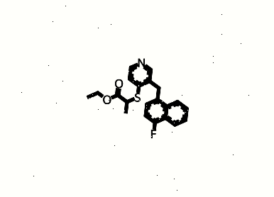 CCOC(=O)C(C)Sc1ccncc1Cc1ccc(F)c2ccccc12